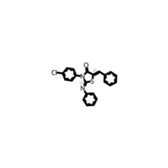 O=C1/C(=C/c2ccccc2)S/C(=N\c2ccccc2)N1c1ccc(Cl)cc1